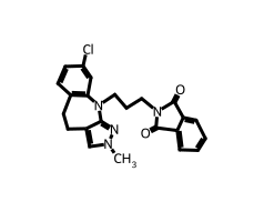 Cn1cc2c(n1)N(CCCN1C(=O)c3ccccc3C1=O)c1cc(Cl)ccc1CC2